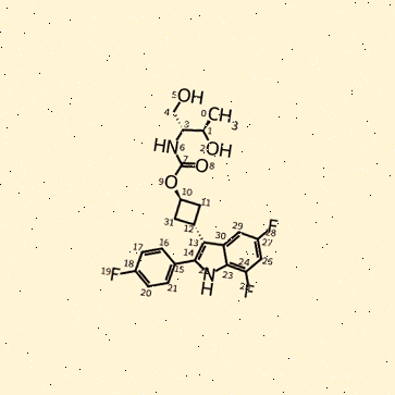 C[C@@H](O)[C@@H](CO)NC(=O)O[C@H]1C[C@H](c2c(-c3ccc(F)cc3)[nH]c3c(F)cc(F)cc32)C1